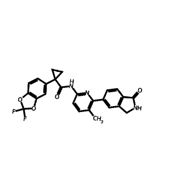 Cc1ccc(NC(=O)C2(c3ccc4c(c3)OC(F)(F)O4)CC2)nc1-c1ccc2c(c1)CNC2=O